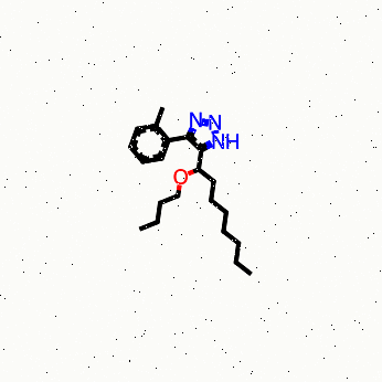 CCCCCCCC(OCCCC)c1[nH]nnc1-c1ccccc1C